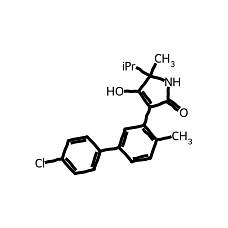 Cc1ccc(-c2ccc(Cl)cc2)cc1C1=C(O)C(C)(C(C)C)NC1=O